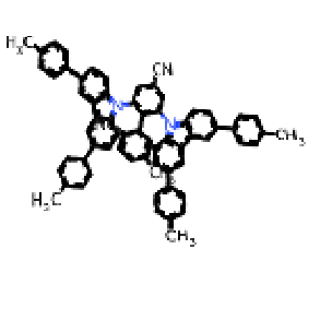 Cc1ccc(-c2ccc3c(c2)c2cc(-c4ccc(C)cc4)ccc2n3-c2cc(C#N)cc(-n3c4ccc(-c5ccc(C)cc5)cc4c4cc(-c5ccc(C)cc5)ccc43)c2-c2cc(C(F)(F)F)ccc2C#N)cc1